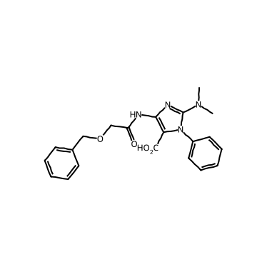 CN(C)c1nc(NC(=O)COCc2ccccc2)c(C(=O)O)n1-c1ccccc1